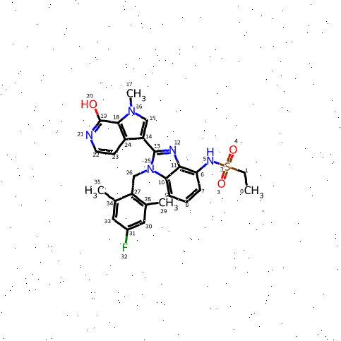 CCS(=O)(=O)Nc1cccc2c1nc(-c1cn(C)c3c(O)nccc13)n2Cc1c(C)cc(F)cc1C